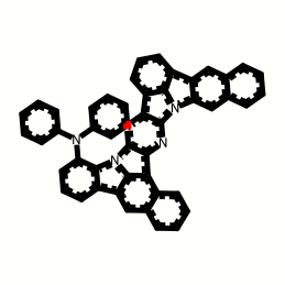 c1ccc(N(c2ccccc2)c2cccc3c4cc5ccccc5c5c6nc7c(nc6n(c23)c45)c2cccc3c4cc5ccccc5cc4n7c32)cc1